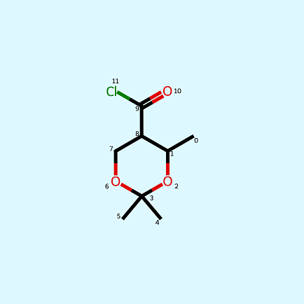 CC1OC(C)(C)OCC1C(=O)Cl